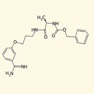 C[C@@H](NC(=O)OCc1ccccc1)C(=O)NCCCOc1cccc(C(=N)N)c1